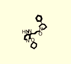 O=C(/C=C/c1n[nH]c2ccnc(OC3CCCCC3)c12)N1CCC[C@H](c2ccccc2)C1